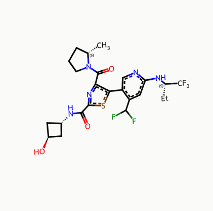 CC[C@H](Nc1cc(C(F)F)c(-c2sc(C(=O)N[C@H]3C[C@H](O)C3)nc2C(=O)N2CCC[C@@H]2C)cn1)C(F)(F)F